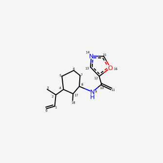 C=CC(C)C1CCCC(NC(=C)c2cnco2)C1C